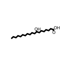 CCCCCCCCCCCC(O)CCCCCCC(=O)O